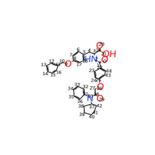 O=C(NC(Cc1ccc(OCc2ccccc2)cc1)C(=O)O)c1ccc(OCC(=O)N(c2ccccc2)C2CCCCC2)cc1